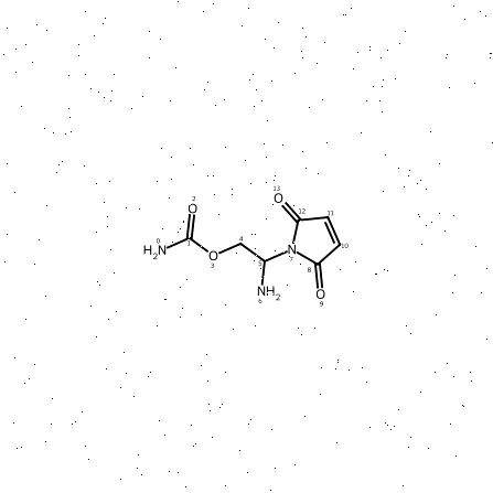 NC(=O)OCC(N)N1C(=O)C=CC1=O